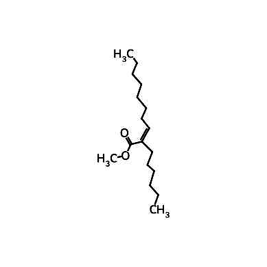 CCCCCCCC=C(CCCCCC)C(=O)OC